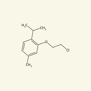 Cc1ccc(C(C)C)c(OCCCl)c1